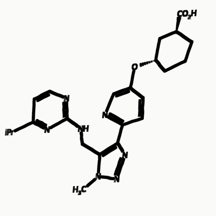 CC(C)c1ccnc(NCc2c(-c3ccc(O[C@H]4CCC[C@H](C(=O)O)C4)cn3)nnn2C)n1